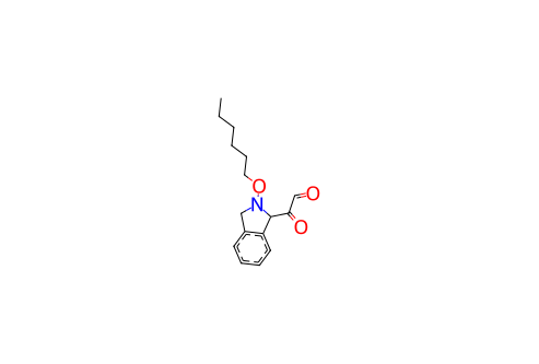 CCCCCCON1Cc2ccccc2C1C(=O)C=O